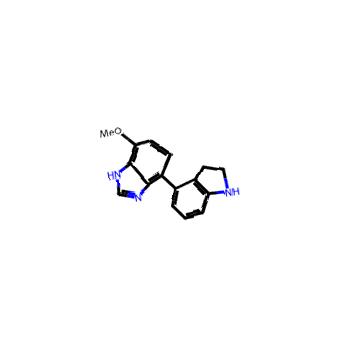 COc1ccc(-c2cccc3c2CCN3)c2nc[nH]c12